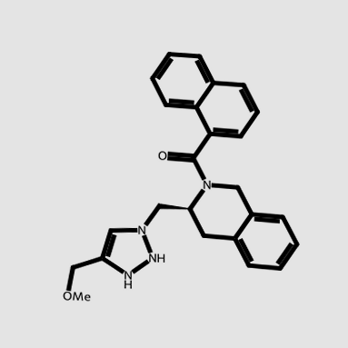 COCC1=CN(C[C@@H]2Cc3ccccc3CN2C(=O)c2cccc3ccccc23)NN1